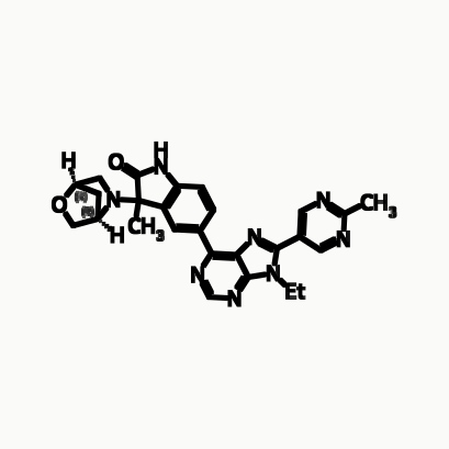 CCn1c(-c2cnc(C)nc2)nc2c(-c3ccc4c(c3)C(C)(N3C[C@H]5C[C@@H]3CO5)C(=O)N4)ncnc21